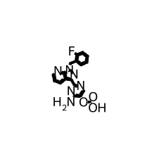 Nc1nc(-c2nn(Cc3ccccc3F)c3ncccc23)ncc1OC(=O)O